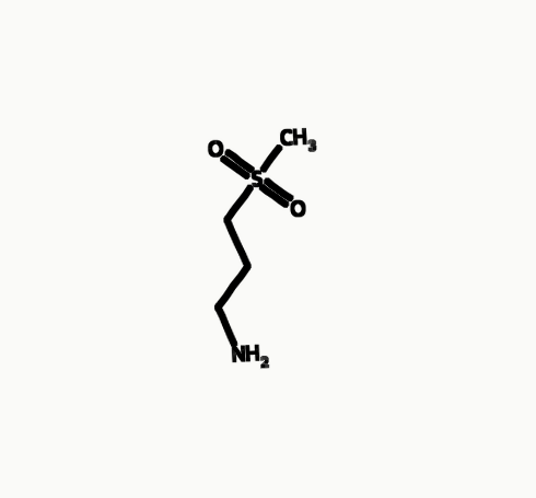 CS(=O)(=O)CCCN